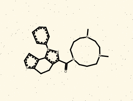 CN1CCCN(C(=O)c2nn(-c3ccccc3)c3c2CCc2sccc2-3)CCCN(C)CC1